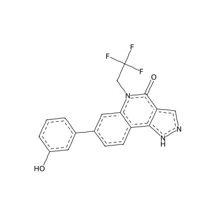 O=c1c2cn[nH]c2c2ccc(-c3cccc(O)c3)cc2n1CC(F)(F)F